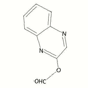 O=[C]Oc1cnc2ccccc2n1